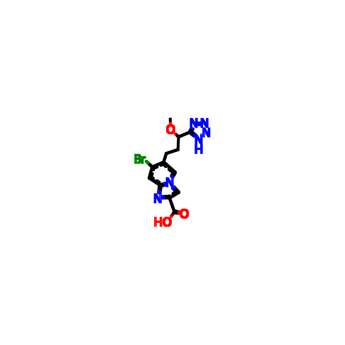 COC(CCc1cn2cc(C(=O)O)nc2cc1Br)c1nnn[nH]1